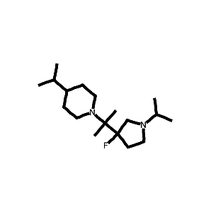 CC(C)C1CCN(C(C)(C)C2(F)CCN(C(C)C)C2)CC1